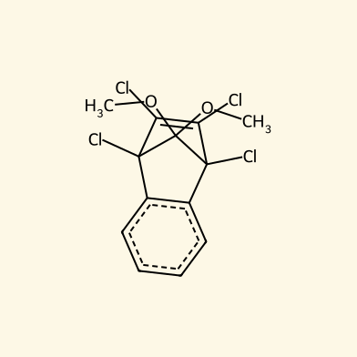 COC1(OC)C2(Cl)C(Cl)=C(Cl)C1(Cl)c1ccccc12